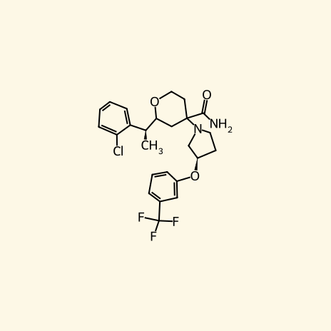 C[C@@H](c1ccccc1Cl)C1CC(C(N)=O)(N2CC[C@@H](Oc3cccc(C(F)(F)F)c3)C2)CCO1